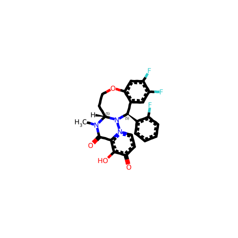 CN1C(=O)c2c(O)c(=O)ccn2N2[C@H](c3ccccc3F)c3cc(F)c(F)cc3OCC[C@@H]12